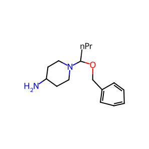 CCCC(OCc1ccccc1)N1CCC(N)CC1